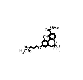 COC(=O)c1ccc2c(c1)-c1c(C)cc(OCCCS(C)(=O)=O)cc1CC(C)(C)O2